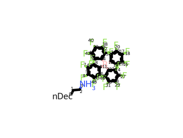 CCCCCCCCCCCC[NH3+].Fc1c(F)c(F)c([B-](c2c(F)c(F)c(F)c(F)c2F)(c2c(F)c(F)c(F)c(F)c2F)c2c(F)c(F)c(F)c(F)c2F)c(F)c1F